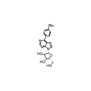 CC(C)(C)c1ccc(-c2ncnc3c2ncn3[C@@H]2O[C@H](CO)[C@@H](O)[C@H]2O)cc1